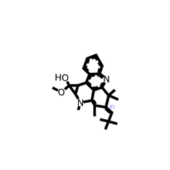 COC1(O)C2c3c4c(nc5ccccc35)C(C)(C)/C(=C/C(C)(C)C)C(C)=C4N(C)C21